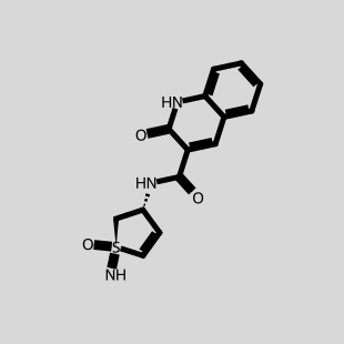 N=[S@]1(=O)C=C[C@@H](NC(=O)c2cc3ccccc3[nH]c2=O)C1